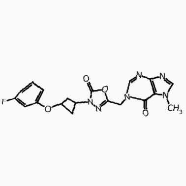 Cn1cnc2ncn(Cc3nn(C4CC(Oc5cccc(F)c5)C4)c(=O)o3)c(=O)c21